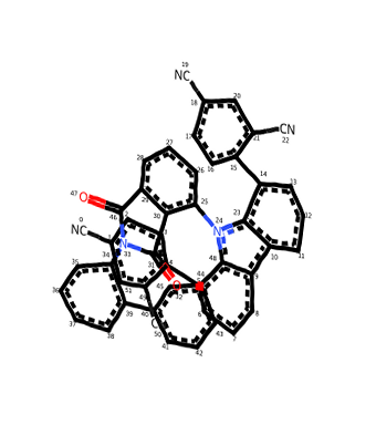 N#Cc1ccc(-c2cccc3c4cccc(-c5ccc(C#N)cc5C#N)c4n(-c4cccc5c4C(=O)N(c4ccccc4-c4ccccc4)C5=O)c23)c(C#N)c1